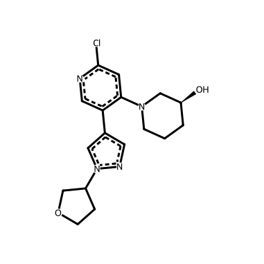 O[C@H]1CCCN(c2cc(Cl)ncc2-c2cnn(C3CCOC3)c2)C1